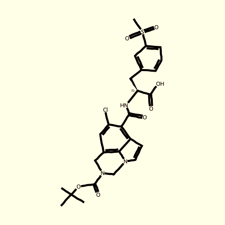 CC(C)(C)OC(=O)N1Cc2cc(Cl)c(C(=O)N[C@@H](Cc3cccc(S(C)(=O)=O)c3)C(=O)O)c3ccn(c23)C1